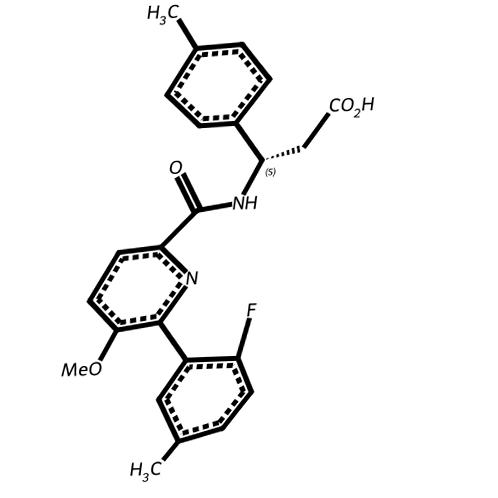 COc1ccc(C(=O)N[C@@H](CC(=O)O)c2ccc(C)cc2)nc1-c1cc(C)ccc1F